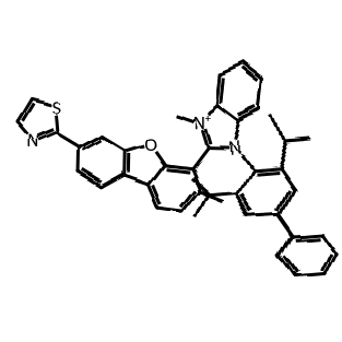 Cc1ccc2c(oc3cc(-c4nccs4)ccc32)c1-c1n(-c2c(C(C)C)cc(-c3ccccc3)cc2C(C)C)c2ccccc2[n+]1C